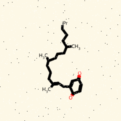 C/C(=C\CC1=CC(=O)C=CC1=O)CCCC(C)CCCC(C)CCCC(C)C